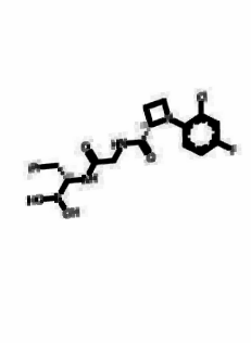 CC(C)C[C@H](NC(=O)CNC(=O)[C@@H]1CCN1c1ccc(F)cc1Cl)B(O)O